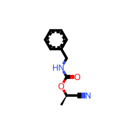 C[C@H](C#N)OC(=O)NCc1ccccc1